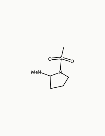 CNC1CCCN1S(C)(=O)=O